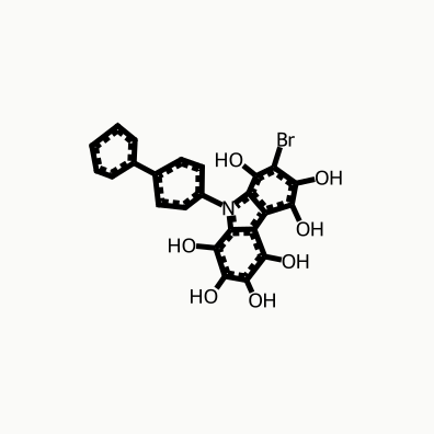 Oc1c(O)c(O)c2c(c1O)c1c(O)c(O)c(Br)c(O)c1n2-c1ccc(-c2ccccc2)cc1